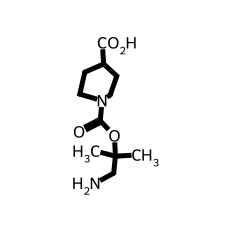 CC(C)(CN)OC(=O)N1CCC(C(=O)O)CC1